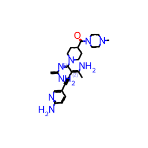 C=C(N)/N=C(\C(C#Cc1ccc(N)nc1)=C(\C)N)N1CCC(C(=O)N2CCN(C)CC2)CC1